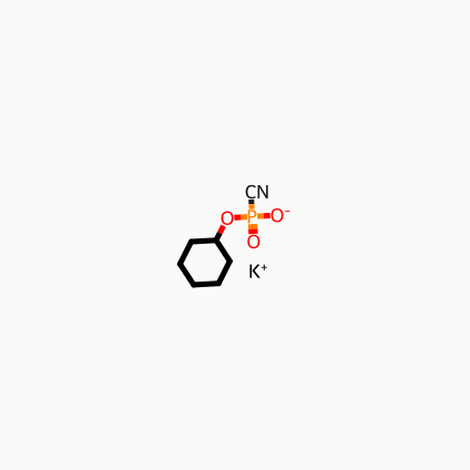 N#CP(=O)([O-])OC1CCCCC1.[K+]